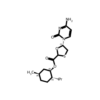 CC(C)[C@@H]1CC[C@@H](C)C[C@H]1OC(=O)C1O[C@H](n2ccc(N)nc2=O)CS1